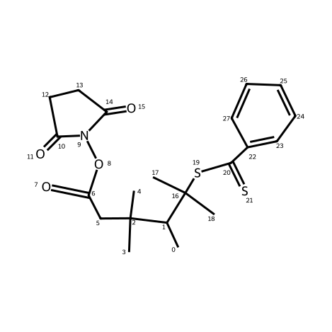 CC(C(C)(C)CC(=O)ON1C(=O)CCC1=O)C(C)(C)SC(=S)c1ccccc1